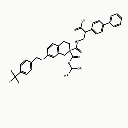 CC(C)OC(=O)[N+]1(C(=O)NCC(C(=O)O)c2ccc(-c3ccccc3)cc2)CCc2ccc(OCc3ccc(C(F)(F)F)cc3)cc2C1